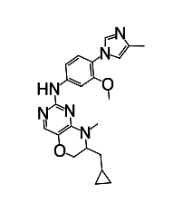 COc1cc(Nc2ncc3c(n2)N(C)C(CC2CC2)CO3)ccc1-n1cnc(C)c1